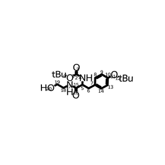 CC(C)(C)OC(=O)NC(Cc1ccc(OC(C)(C)C)cc1)C(=O)NCCO